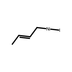 CC=C[CH2][Ni][I]